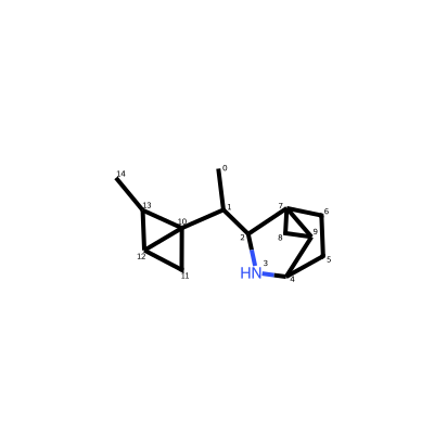 CC(C1NC2CCC13CC23)C12CC1C2C